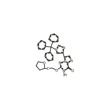 CC(C)n1c(OCCC2CCCO2)nn2c(-c3cn(C(c4ccccc4)(c4ccccc4)c4ccccc4)cn3)cnc2c1=O